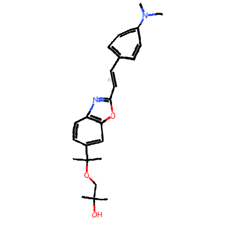 CN(C)c1ccc(/C=C/c2nc3ccc(C(C)(C)OCC(C)(C)O)cc3o2)cc1